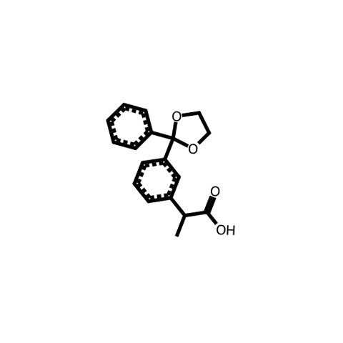 CC(C(=O)O)c1cccc(C2(c3ccccc3)OCCO2)c1